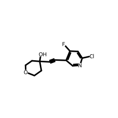 OC1(C#Cc2cnc(Cl)cc2F)CCOCC1